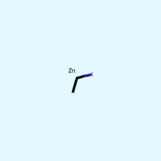 CCI.[Zn]